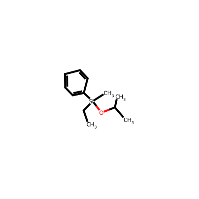 CC[Si](C)(OC(C)C)c1ccccc1